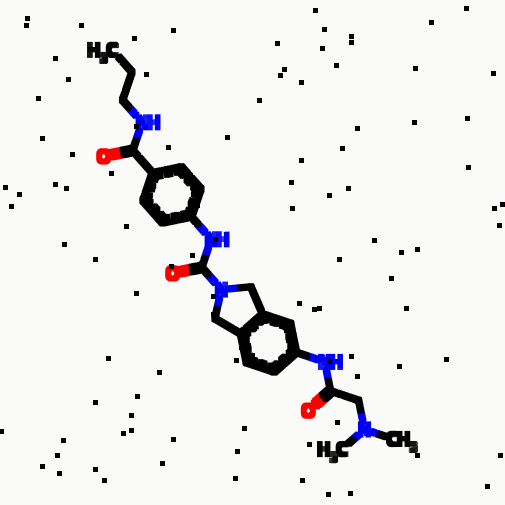 CCCNC(=O)c1ccc(NC(=O)N2Cc3ccc(NC(=O)CN(C)C)cc3C2)cc1